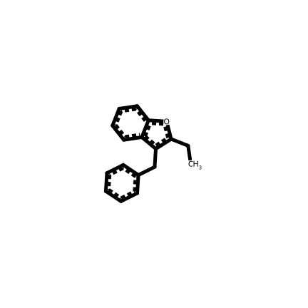 CCc1oc2ccccc2c1Cc1ccccc1